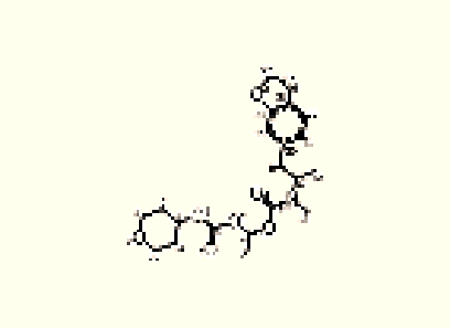 CC(OC(=O)OC1CCOCC1)OC(=O)N(C)C(C)Cc1ccc2c(c1)OCO2